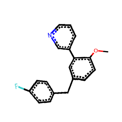 COc1ccc(Cc2ccc(F)cc2)cc1-c1cccnc1